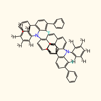 [2H]c1c([2H])c([2H])c(N(c2c(-c3ccccc3)ccc(-c3ccccc3)c2F)c2ccc3ccc4c(N(c5c([2H])c([2H])c([2H])c([2H])c5[2H])c5c(-c6ccccc6)ccc(-c6ccccc6)c5F)ccc5ccc2c3c54)c([2H])c1[2H]